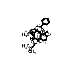 CC1=C2[C@H]3OC(CN(C)C)O[C@H]3[C@]3(C)CCC4OC[C@H]4C3[C@H](OC(=O)c3ccccc3)[C@](O)(CC1)C2(C)C